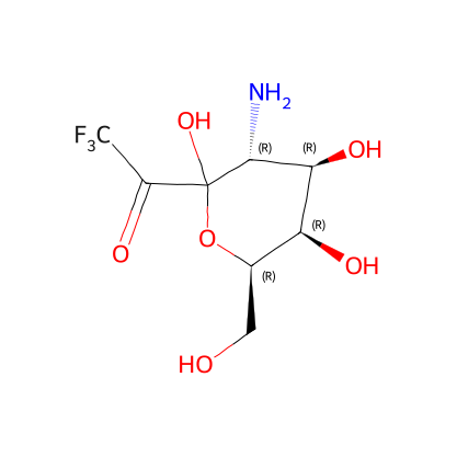 N[C@@H]1[C@@H](O)[C@@H](O)[C@@H](CO)OC1(O)C(=O)C(F)(F)F